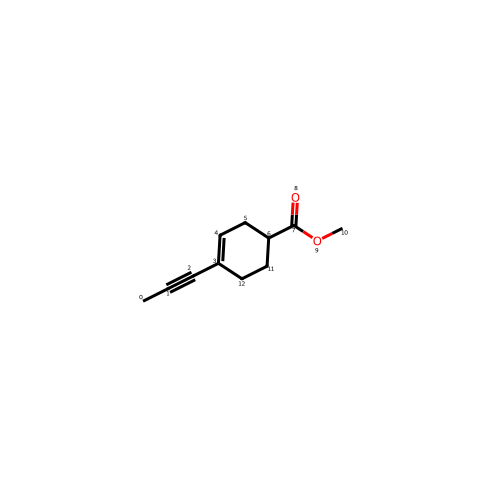 CC#CC1=CCC(C(=O)OC)CC1